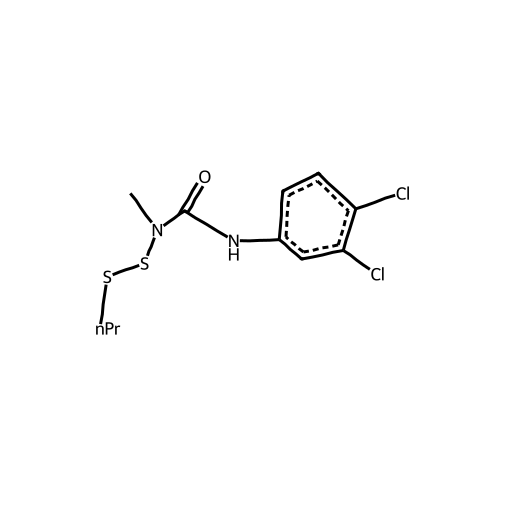 CCCSSN(C)C(=O)Nc1ccc(Cl)c(Cl)c1